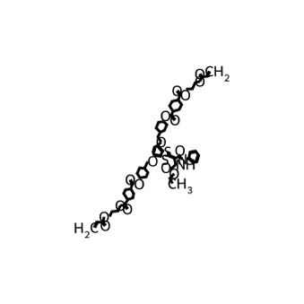 C=CC(=O)OCCCOC(=O)C1CCC(C(=O)OC2CCC(COc3ccc(OCC4CCC(OC(=O)C5CCC(C(=O)OCCCOC(=O)C=C)CC5)CC4)c4c3SC(=C3C(=O)N(c5ccccc5)NC3C(=O)OCC)S4)CC2)CC1